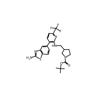 CC(C)(C)OC(=O)N1CCC(CNc2nc(C(F)(F)F)ccc2-c2[c]c3nc(N)sc3cc2)C1